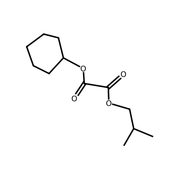 CC(C)COC(=O)C(=O)OC1CCCCC1